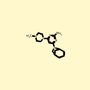 CN1CCN(c2cc(N3CC4CCCC3C4)nc(N)n2)CC1